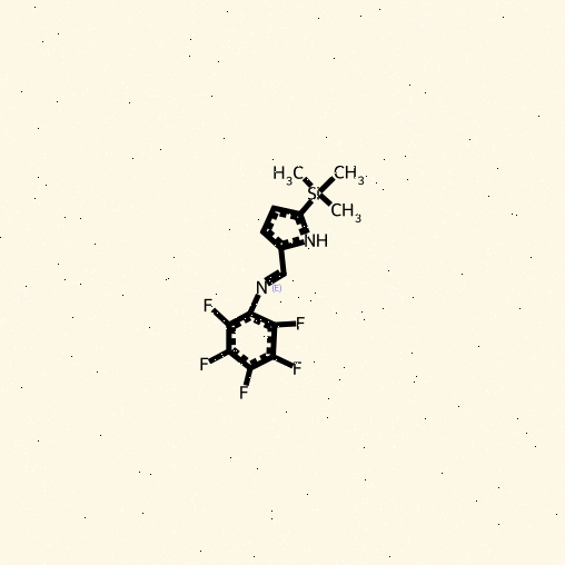 C[Si](C)(C)c1ccc(/C=N/c2c(F)c(F)c(F)c(F)c2F)[nH]1